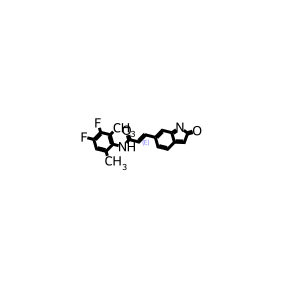 Cc1cc(F)c(F)c(C)c1NC(=O)/C=C/c1ccc2c(c1)=NC(=O)C=2